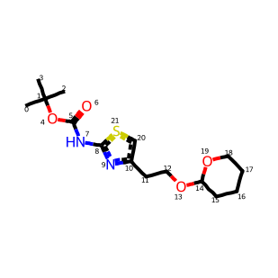 CC(C)(C)OC(=O)Nc1nc(CCOC2CCCCO2)cs1